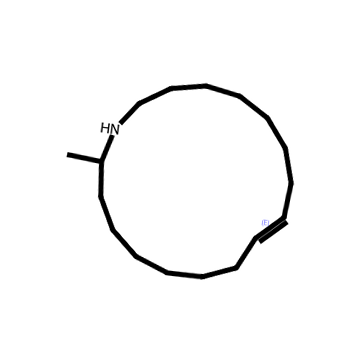 CC1CCCCCC/C=C/CCCCCCCN1